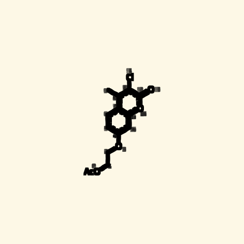 [CH2]C(=O)OCCOc1ccc2c(C)c(Cl)c(=O)oc2c1